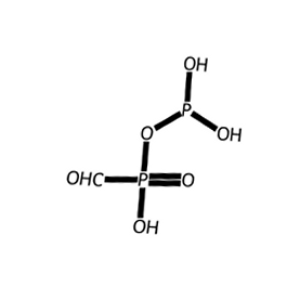 O=CP(=O)(O)OP(O)O